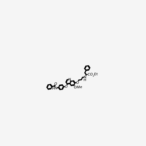 CCOC(=O)[C@H](Cc1ccccc1)NCCCOc1cc2nccc(Oc3ccc(NC(=O)c4ccccc4)cc3)c2cc1OC